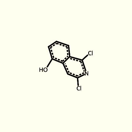 Oc1cccc2c(Cl)nc(Cl)cc12